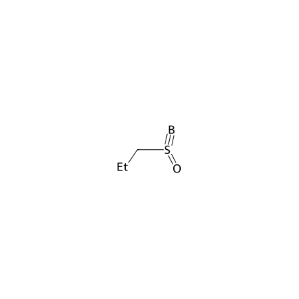 B#S(=O)CCC